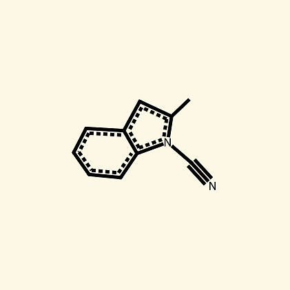 Cc1cc2ccccc2n1C#N